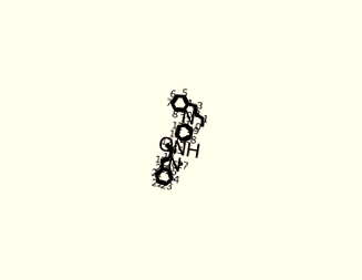 CCc1cc2ccccc2n1-c1ccc(NC(=O)c2cc3ccccc3n2C)cc1